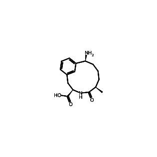 C[C@@H]1CCC[C@H](N)c2cccc(c2)C[C@H](C(=O)O)NC1=O